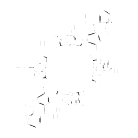 COc1ncccc1C(C)c1ccc(C[C@H]2OC(=O)[C@H](CC(C)C)N(C)C(=O)[C@@H](C)OC(=O)[C@H](CC(C)C)N(C)C(=O)[C@@H](Cc3ccc(C(C)c4cccnc4OC)cc3)OC(=O)[C@H](CC(C)C)N(C)C(=O)[C@@H](C)OC(=O)[C@H](CC(C)C)N(C)C2=O)cc1